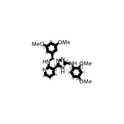 COc1cc(CNc2ncccc2-c2nnc(Nc3ccc(OC)cc3OC)[nH]2)cc(OC)c1